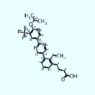 CCc1c(CCCC(=O)O)cccc1-c1cnc(-c2cnc(OC(C)C)c(C(F)(F)F)c2)nc1